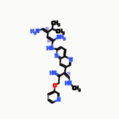 CN/C=C(\C(=N)COc1cccnc1)c1cnc2ccc(N/C(N)=C/C(=C\N)C(C)C)nc2c1